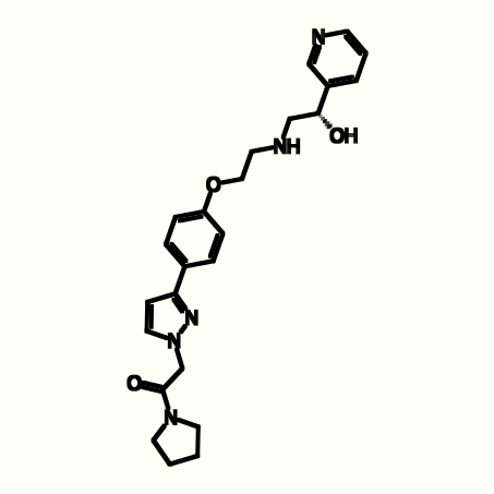 O=C(Cn1ccc(-c2ccc(OCCNC[C@@H](O)c3cccnc3)cc2)n1)N1CCCC1